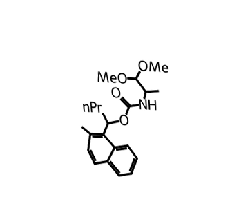 CCCC(OC(=O)NC(C)C(OC)OC)c1c(C)ccc2ccccc12